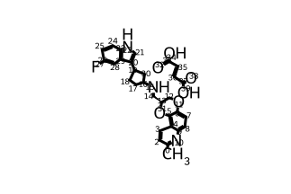 Cc1ccc2c3c(ccc2n1)OC[C@H](CNC1CCC(c2c[nH]c4ccc(F)cc24)C1)O3.O=C(O)/C=C/C(=O)O